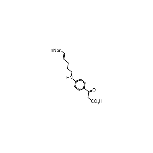 CCCCCCCCC/C=C/CCCNc1ccc(C(=O)CC(=O)O)cc1